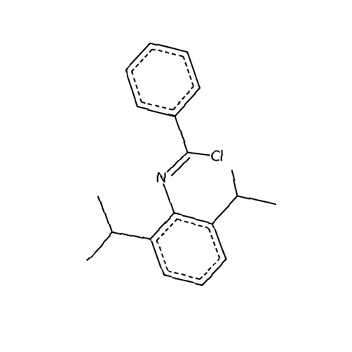 CC(C)c1cccc(C(C)C)c1N=C(Cl)c1ccccc1